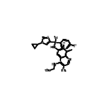 [2H]C(Nc1cc2c(NCC(C)(C)C)c(C#N)cnc2c(C)c1F)(c1ccc(F)cc1)c1cn(C2CC2)nn1